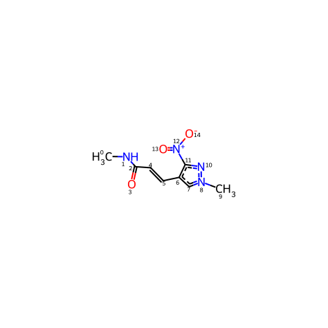 CNC(=O)/C=C/c1cn(C)nc1[N+](=O)[O-]